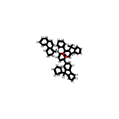 CC1(C)c2ccccc2-c2cccc(-c3ccccc3N(c3ccc(-c4ccc5c(c4)C(C)(c4ccccc4)c4ccccc4-5)cc3)c3cccc4c3ccc3ccccc34)c21